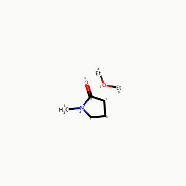 CCOCC.CN1CCCC1=O